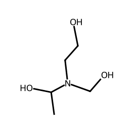 CC(O)N(CO)CCO